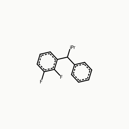 CC(C)C(c1ccccc1)c1cccc(F)c1F